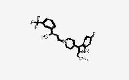 CCc1[nH]c2cc(F)ccc2c1C1=CCN(CCC(S)c2cccc(C(F)(F)F)c2)CC1